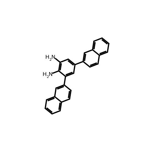 Nc1cc(-c2ccc3ccccc3c2)cc(-c2ccc3ccccc3c2)c1N